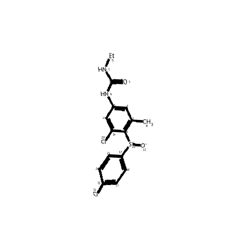 CCNC(=O)Nc1cc(C)c([S+]([O-])c2ccc(Cl)cc2)c(Cl)c1